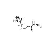 CC(CCC(=O)NN)C(C)(C)C(=O)NN